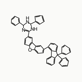 c1ccc(C2N=C(c3ccc4oc5ccc(-c6cccc7c6-c6ccccc6C7(c6ccccc6)c6ccccc6)cc5c4c3)NC(c3ccccc3)N2)cc1